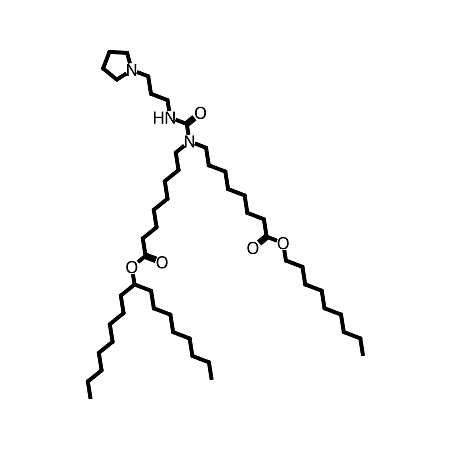 CCCCCCCCCOC(=O)CCCCCCCN(CCCCCCCC(=O)OC(CCCCCCCC)CCCCCCCC)C(=O)NCCCN1CCCC1